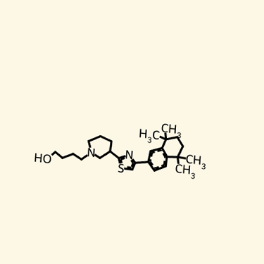 CC1(C)CCC(C)(C)c2cc(-c3csc(C4CCCN(CCCCO)C4)n3)ccc21